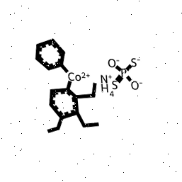 CCc1cc[c]([Co+2][c]2ccccc2)c(CC)c1CC.[NH4+].[O-]P([O-])(=S)[S-]